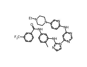 CCN1CCN(c2ccc(Nc3cc(-n4ccnc4Nc4cc(NC(=O)c5cccc(C(F)(F)F)c5)ccc4C)ncn3)nc2)CC1